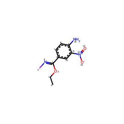 CCOC(=NI)c1ccc(N)c([N+](=O)[O-])c1